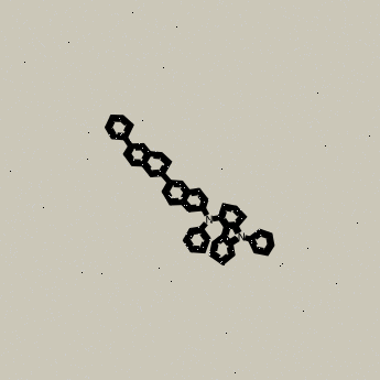 c1ccc(-c2ccc3cc(-c4ccc5cc(N(c6ccccc6)c6cccc7c6c6ccccc6n7-c6ccccc6)ccc5c4)ccc3c2)cc1